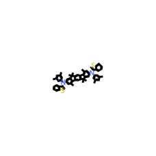 Cc1cc(C)cc(N(c2cc(C)c3c(c2)C(C)(C)c2cc4c(cc2-3)C(C)(C)c2cc(N(c3cc(C)cc(C)c3)c3csc5ccccc35)cc(C)c2-4)c2csc3ccccc23)c1